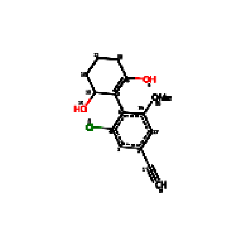 C#Cc1cc(Cl)c(C2=C(O)CCCC2O)c(OC)c1